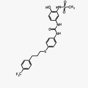 CS(=O)(=O)Nc1cc(NC(=O)Nc2ccc(SCCCc3ccc(C(F)(F)F)cc3)cc2)ccc1O